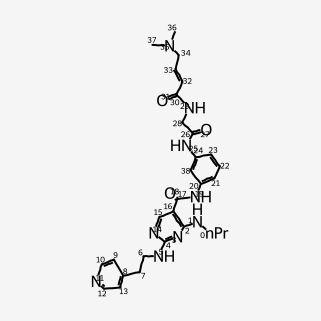 CCCNc1nc(NCCc2ccncc2)ncc1C(=O)Nc1cccc(NC(=O)CNC(=O)/C=C/CN(C)C)c1